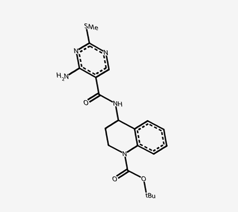 CSc1ncc(C(=O)NC2CCN(C(=O)OC(C)(C)C)c3ccccc32)c(N)n1